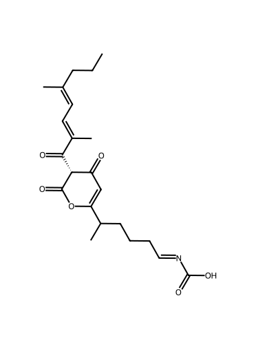 CCC/C(C)=C/C=C(\C)C(=O)[C@@H]1C(=O)C=C(C(C)CCC/C=N/C(=O)O)OC1=O